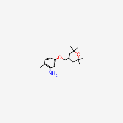 Cc1ccc(OCC2CC(C)(C)OC(C)(C)C2)cc1N